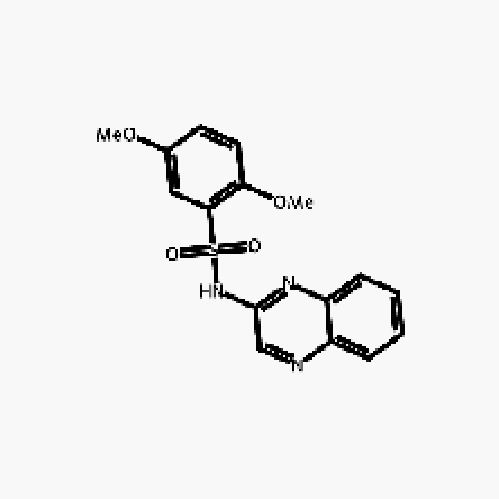 COc1ccc(OC)c(S(=O)(=O)Nc2cnc3ccccc3n2)c1